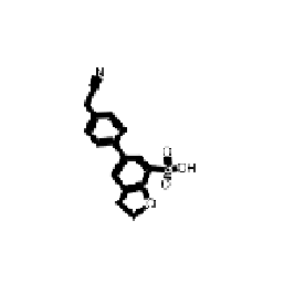 N#CCc1ccc(-c2cc3c(c(S(=O)(=O)O)c2)OCC3)cc1